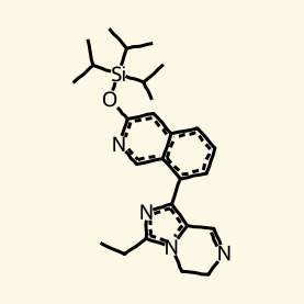 CCc1nc(-c2cccc3cc(O[Si](C(C)C)(C(C)C)C(C)C)ncc23)c2n1CCN=C2